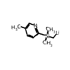 [Li][CH2][Si](C)(C)c1ccc(C)cn1